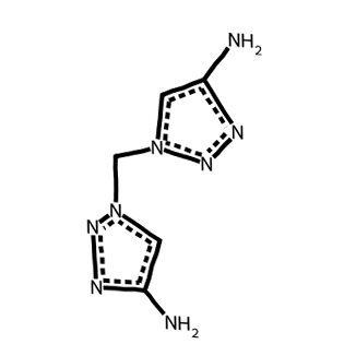 Nc1cn(Cn2cc(N)nn2)nn1